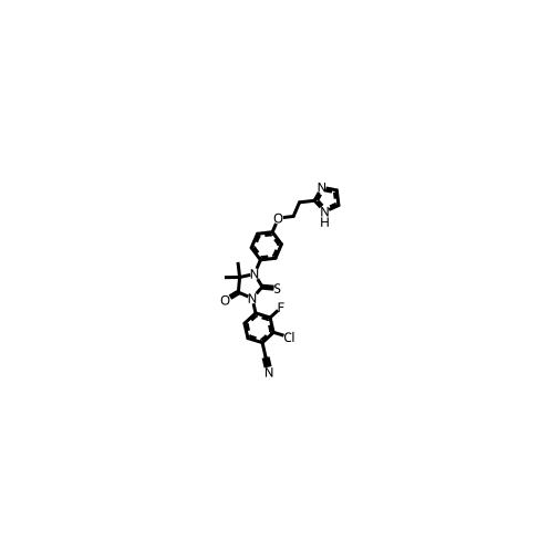 CC1(C)C(=O)N(c2ccc(C#N)c(Cl)c2F)C(=S)N1c1ccc(OCCc2ncc[nH]2)cc1